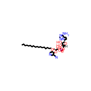 CCCCCCCCCCCCCCCCCCOC[C@H](COP(=O)(O)OC1[C@H]2O[C@@H](c3ccc4c(N)ncnn34)[C@H](O)[C@@]12O)Oc1ccncc1C#N